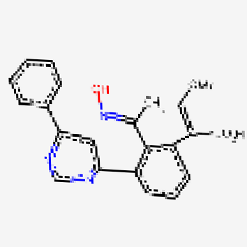 COC=C(C(=O)O)c1cccc(-c2cc(-c3ccccc3)ncn2)c1C(C)=NO